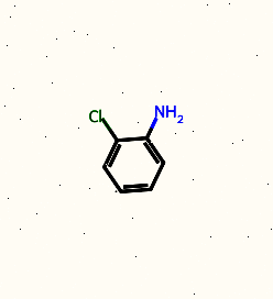 Nc1cc[c]cc1Cl